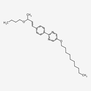 CCCCCCCCCCOc1cnc(-c2ccc(C=CC(C)OCCCC)cc2)nc1